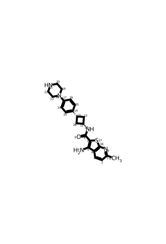 Cc1ccc2c(N)c(C(=O)N[C@H]3C[C@@H](c4ccc(N5CCNCC5)cc4)C3)sc2n1